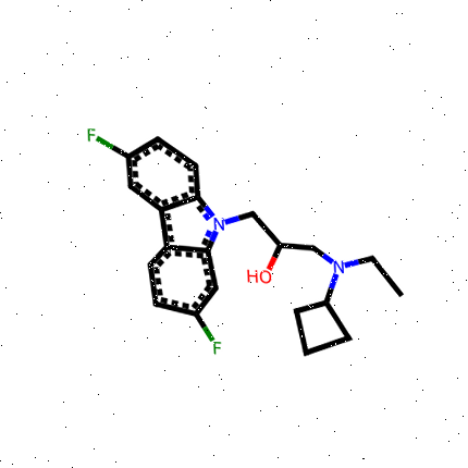 CCN(CC(O)Cn1c2ccc(F)cc2c2ccc(F)cc21)C1CCC1